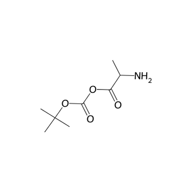 CC(N)C(=O)OC(=O)OC(C)(C)C